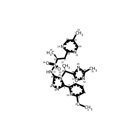 COc1cccc(-c2nnc(NS(=O)(=O)[C@@H](C)Cc3ncc(C)cn3)n2[C@H](C)c2nc(C)no2)n1